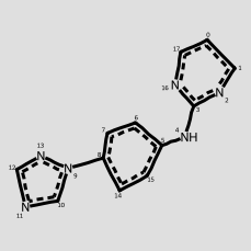 c1cnc(Nc2ccc(-n3cncn3)cc2)nc1